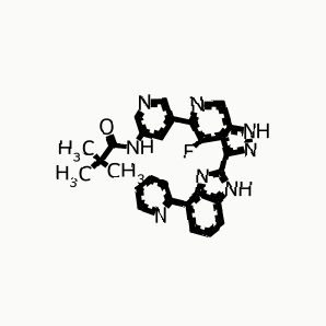 CC(C)(C)C(=O)Nc1cncc(-c2ncc3[nH]nc(-c4nc5c(-c6ccccn6)cccc5[nH]4)c3c2F)c1